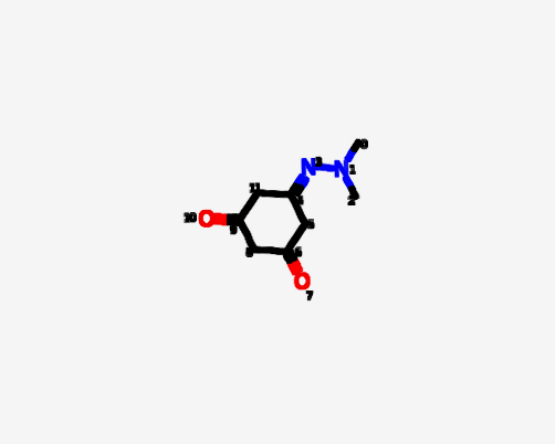 CN(C)N=C1CC(=O)CC(=O)C1